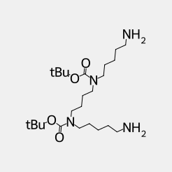 CC(C)(C)OC(=O)N(CCCCCN)CCCCN(CCCCCN)C(=O)OC(C)(C)C